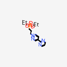 CCOP(=O)(CCC[n+]1ccc(-c2ncccn2)cn1)OCC